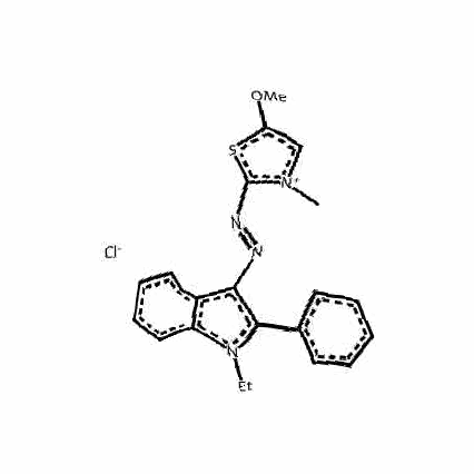 CCn1c(-c2ccccc2)c(N=Nc2sc(OC)c[n+]2C)c2ccccc21.[Cl-]